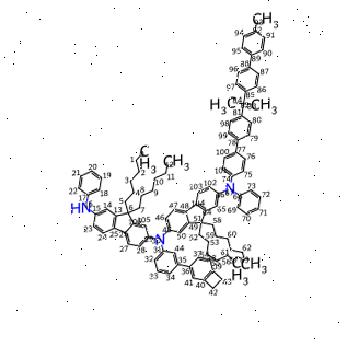 CCCCCCC1(CCCCCC)c2cc(Nc3ccccc3)ccc2-c2ccc(N(c3cccc(-c4ccc5c(c4)CC5)c3)c3ccc4c(c3)C(CCCCCC)(CCCCCC)c3cc(N(c5ccccc5)c5ccc(-c6ccc(C(C)(C)c7ccc(-c8ccc(C)cc8)cc7)cc6)cc5)ccc3-4)cc21